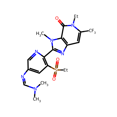 CCn1c(C(F)(F)F)cc2nc(-c3ncc(/N=C\N(C)C)cc3S(=O)(=O)CC)n(C)c2c1=O